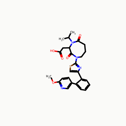 COc1ccc(-c2ccccc2-c2csc(N3CCCC(=O)N(C(C)C)C(CC(=O)O)C3=O)n2)cn1